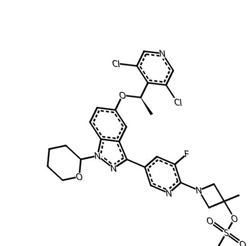 C[C@@H](Oc1ccc2c(c1)c(-c1cnc(N3CC(C)(OS(C)(=O)=O)C3)c(F)c1)nn2C1CCCCO1)c1c(Cl)cncc1Cl